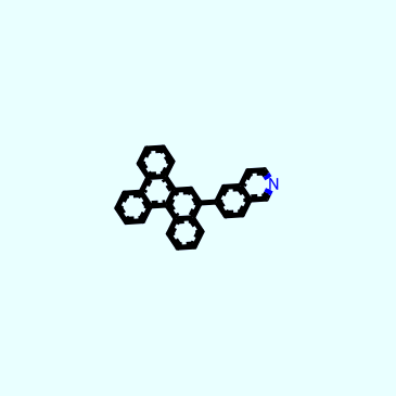 c1ccc2c(c1)c(-c1ccc3cnccc3c1)cc1c3ccccc3c3ccccc3c21